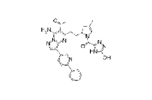 CC(=O)c1c(CCC2CC(C)=CN2C(=O)c2nnc(O)[nH]2)nc2c(-c3ccc(-c4ccccc4)nc3)cnn2c1N